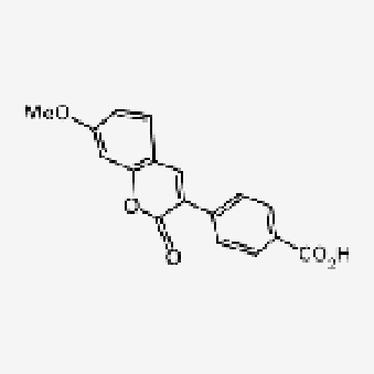 COc1ccc2cc(-c3ccc(C(=O)O)cc3)c(=O)oc2c1